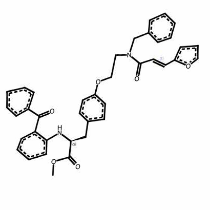 COC(=O)[C@H](Cc1ccc(OCCN(Cc2ccccc2)C(=O)/C=C/c2ccco2)cc1)Nc1ccccc1C(=O)c1ccccc1